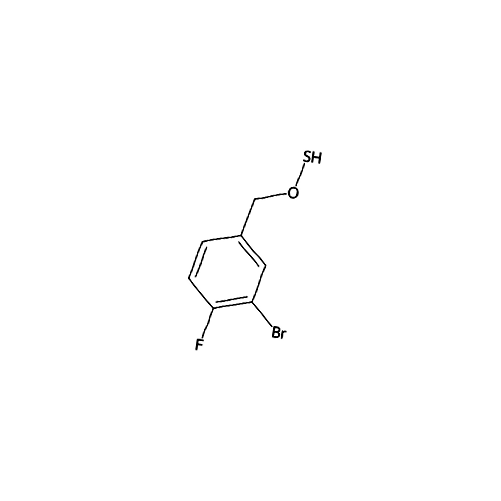 Fc1ccc(COS)cc1Br